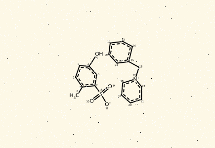 Cc1ccc(O)cc1S(=O)(=O)[O-].c1ccc(C[n+]2ccccc2)cc1